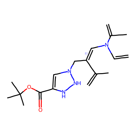 C=CN(/C=C(/CN1C=C(C(=O)OC(C)(C)C)NN1)C(=C)C)C(=C)C